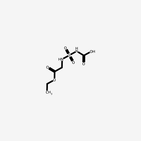 CCOC(=O)CNS(=O)(=O)NC(=O)O